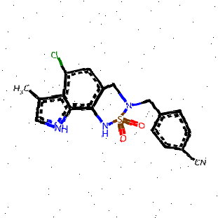 Cc1c[nH]c2c3c(cc(Cl)c12)CN(Cc1ccc(C#N)cc1)S(=O)(=O)N3